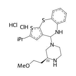 COCC[C@H]1CN(C2Nc3ccccc3Sc3sc(C(C)C)cc32)CCN1.Cl.Cl